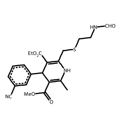 CCOC(=O)C1=C(CSCCNC=O)NC(C)=C(C(=O)OC)C1c1cccc(C#N)c1